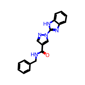 O=C(NCc1ccccc1)c1cnn(-c2nc3ccccc3[nH]2)c1